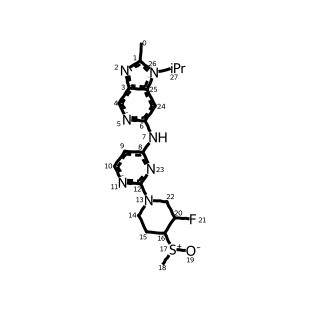 Cc1nc2cnc(Nc3ccnc(N4CCC([S+](C)[O-])C(F)C4)n3)cc2n1C(C)C